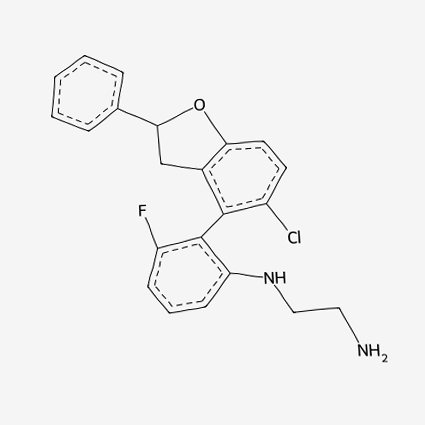 NCCNc1cccc(F)c1-c1c(Cl)ccc2c1CC(c1ccccc1)O2